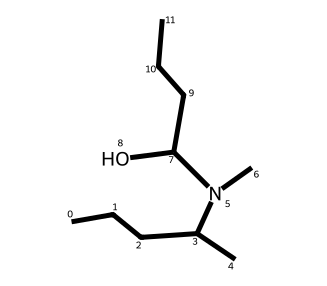 CCCC(C)N(C)C(O)CCC